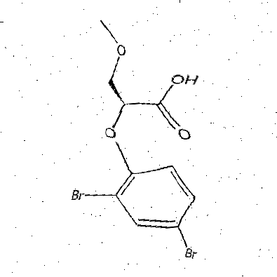 COC[C@H](Oc1ccc(Br)cc1Br)C(=O)O